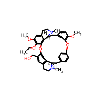 CCOc1c(OC)cc2c3c1Oc1cc4c(cc1CO)CCN(C)[C@H]4Cc1ccc(cc1)Oc1cc(ccc1OC)C[C@@H]3N(C)CC2